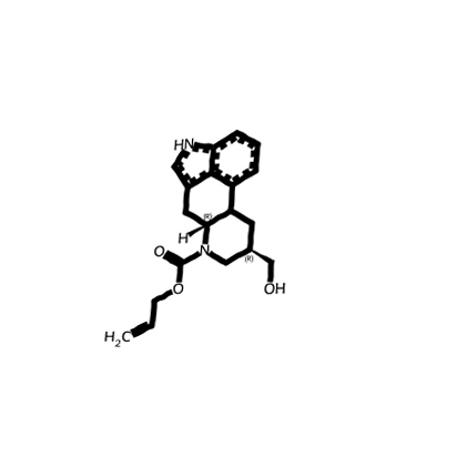 C=CCOC(=O)N1C[C@H](CO)CC2c3cccc4[nH]cc(c34)C[C@H]21